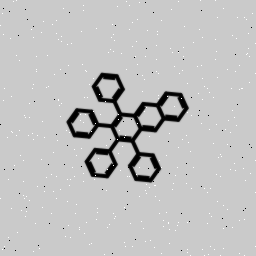 c1ccc(-c2c(-c3ccccc3)c(-c3ccccc3)c3cc4ccccc4cc3c2-c2ccccc2)cc1